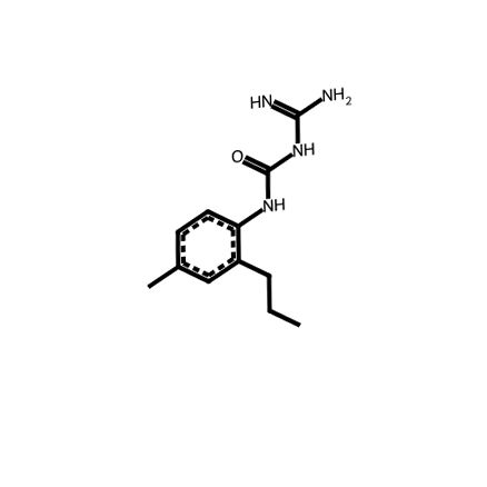 CCCc1cc(C)ccc1NC(=O)NC(=N)N